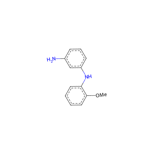 COc1ccccc1Nc1cccc(N)c1